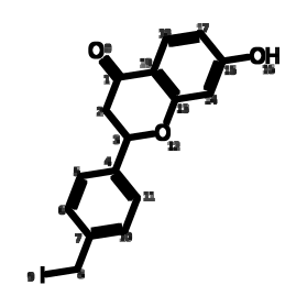 O=C1CC(c2ccc(CI)cc2)Oc2cc(O)ccc21